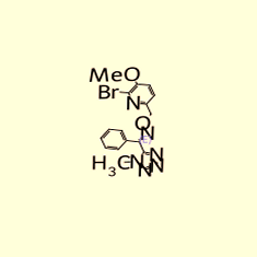 COc1ccc(CO/N=C(\c2ccccc2)c2nnnn2C)nc1Br